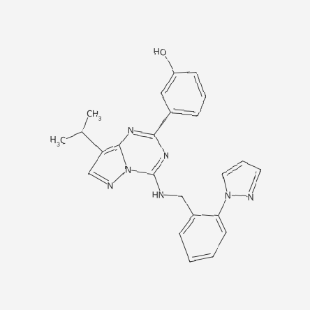 CC(C)c1cnn2c(NCc3ccccc3-n3cccn3)nc(-c3cccc(O)c3)nc12